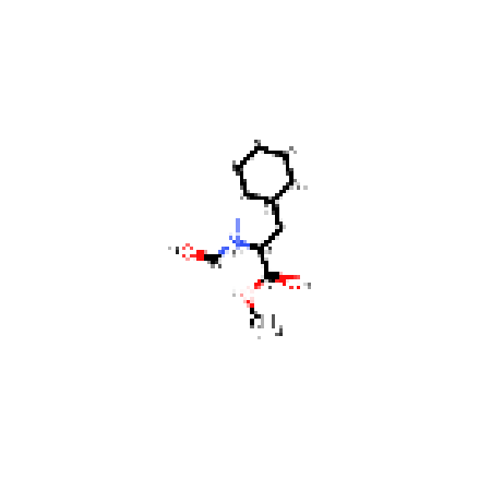 COC(=O)C(CC1CCCCC1)NC=O